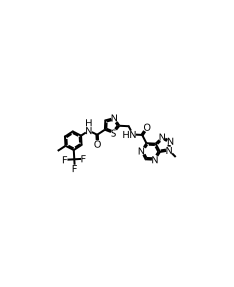 Cc1ccc(NC(=O)c2cnc(CNC(=O)c3ncnc4c3nnn4C)s2)cc1C(F)(F)F